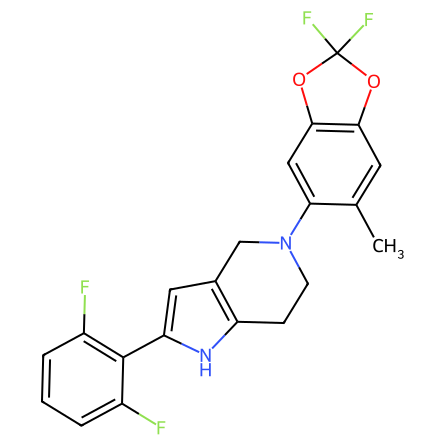 Cc1cc2c(cc1N1CCc3[nH]c(-c4c(F)cccc4F)cc3C1)OC(F)(F)O2